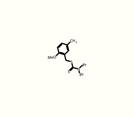 COc1ccc(C)cc1CSC(=S)N(C(C)C)C(C)C